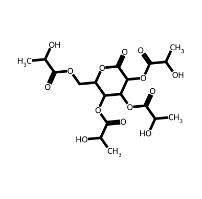 CC(O)C(=O)OCC1OC(=O)C(OC(=O)C(C)O)C(OC(=O)C(C)O)C1OC(=O)C(C)O